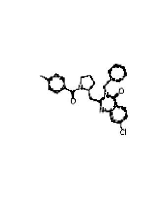 Cc1ccc(C(=O)N2CCCC2Cc2nc3cc(Cl)ccc3c(=O)n2Cc2ccccc2)cc1